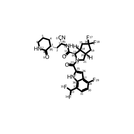 N#C[C@@H](C[C@H]1CCCNC1=O)NC(=O)[C@H]1[C@@H]2CC(F)(F)C[C@@H]2CN1C(=O)c1cc2c(F)ccc(C(F)F)c2[nH]1